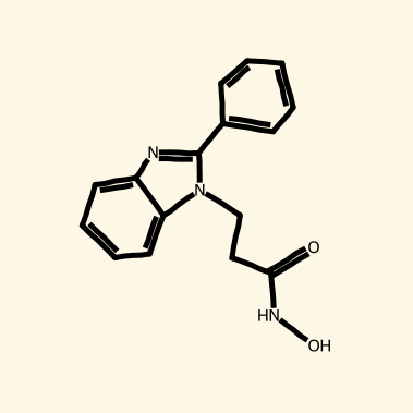 O=C(CCn1c(-c2ccccc2)nc2ccccc21)NO